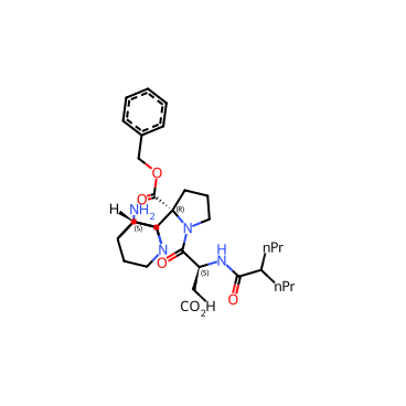 CCCC(CCC)C(=O)N[C@@H](CC(=O)O)C(=O)N1CCC[C@]1(C(=O)OCc1ccccc1)C1[C@@H](N)C2CCN1CC2